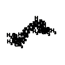 COC(=O)N[C@H](C(=O)N1CCC(c2nc3cc(-c4ccc(-c5c[nH]c([C@@H]6CCCN6C(=O)[C@@H](NC(=O)OC)C(C)C)n5)cc4)ccc3[nH]2)C1)C(C)C